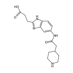 O=C(O)CCc1nc2cc(NC(=O)CC3CCNCC3)ccc2[nH]1